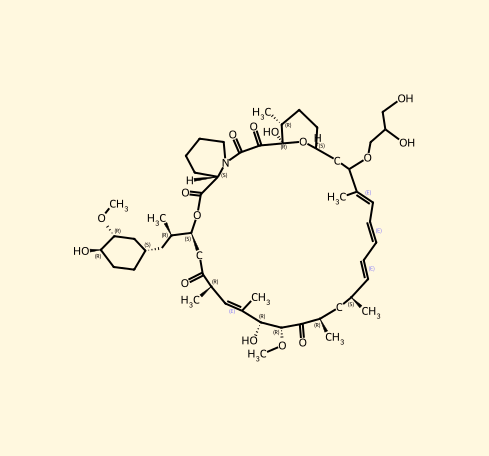 CO[C@@H]1C[C@H](C[C@@H](C)[C@@H]2CC(=O)[C@H](C)/C=C(\C)[C@@H](O)[C@@H](OC)C(=O)[C@H](C)C[C@H](C)/C=C/C=C/C=C(\C)C(OCC(O)CO)C[C@@H]3CC[C@@H](C)[C@@](O)(O3)C(=O)C(=O)N3CCCC[C@H]3C(=O)O2)CC[C@H]1O